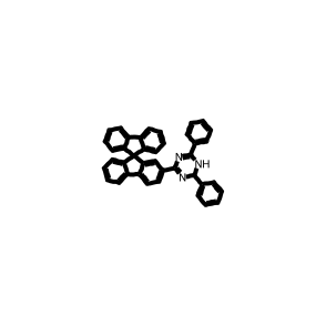 c1ccc(C2=NC(c3ccc4c(c3)C3(c5ccccc5-c5ccccc53)c3ccccc3-4)=NC(c3ccccc3)N2)cc1